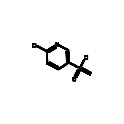 C=S(=O)(Cl)c1ccc(Cl)nc1